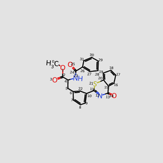 COC(=O)C(Cc1cccc(-c2nc(=O)c3ccccc3s2)c1)NC(=O)c1ccccc1